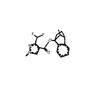 CC1C2CCC1(OC(=O)c1cn(C)nc1C(F)F)c1ccccc12